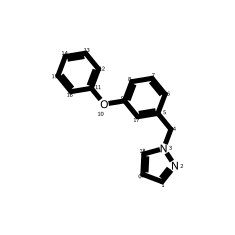 [c]1cnn(Cc2cccc(Oc3ccccc3)c2)c1